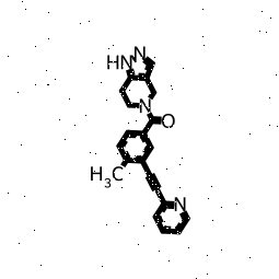 Cc1ccc(C(=O)N2CCc3[nH]ncc3C2)cc1C#Cc1ccccn1